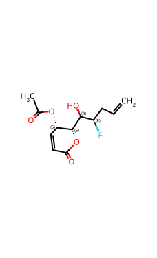 C=CC[C@@H](F)[C@H](O)[C@@H]1OC(=O)C=C[C@@H]1OC(C)=O